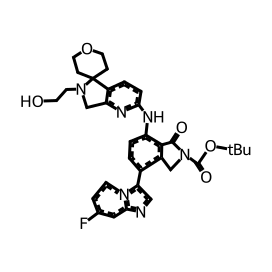 CC(C)(C)OC(=O)N1Cc2c(-c3cnc4cc(F)ccn34)ccc(Nc3ccc4c(n3)CN(CCO)C43CCOCC3)c2C1=O